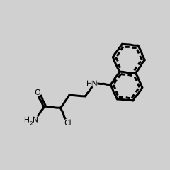 NC(=O)C(Cl)CCNc1cccc2ccccc12